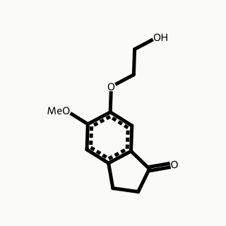 COc1cc2c(cc1OCCO)C(=O)CC2